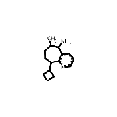 C[C@@H]1CCC(C2CCC2)c2ncccc2C1N